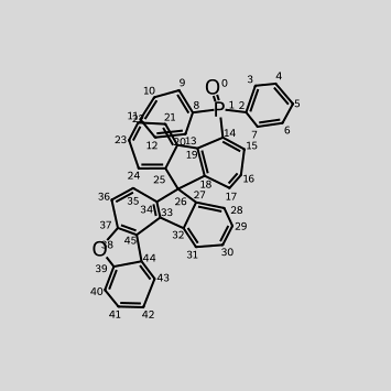 O=P(c1ccccc1)(c1ccccc1)c1cccc2c1-c1ccccc1C21c2ccccc2-c2c1ccc1oc3ccccc3c21